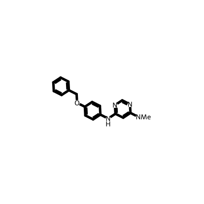 CNc1cc(Nc2ccc(OCc3ccccc3)cc2)ncn1